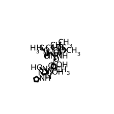 CCOC(=O)[C@H](CC(C)C)NP(=O)(N[C@@H](CC(C)C)C(=O)OCC)OC[C@H]1O[C@@H](n2cnc3c(NC4CCCC4)nc(O)nc32)[C@@](C)(O)C1O